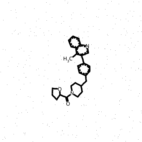 Cc1c(-c2ccc(CC3CCN(C(=O)C4CCCO4)CC3)cc2)cnc2ccccc12